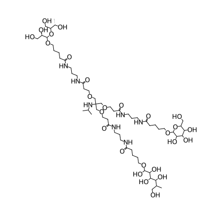 CC(C)NC(COCCC(=O)NCCCNC(=O)CCCCOC(O)C(O)C(O)C(O)C(C)CO)(COCCC(=O)NCCCNC(=O)CCCCOC1OC(CO)C(O)C(O)C1O)COCCC(=O)NCCCNC(=O)CCCCOC(OC(CO)[C@H](C)O)[C@H](O)CO